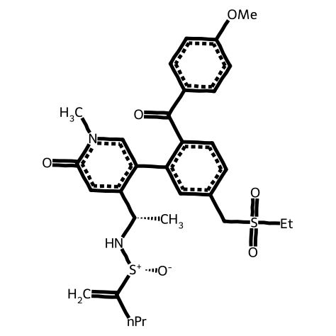 C=C(CCC)[S@@+]([O-])N[C@@H](C)c1cc(=O)n(C)cc1-c1cc(CS(=O)(=O)CC)ccc1C(=O)c1ccc(OC)cc1